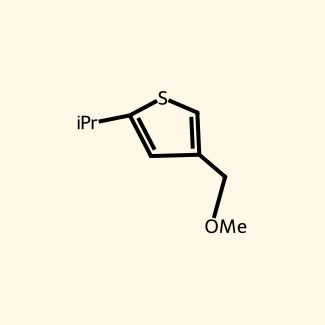 COCc1csc(C(C)C)c1